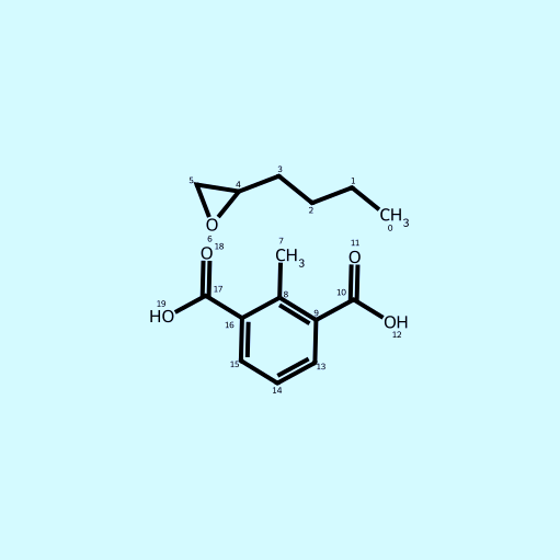 CCCCC1CO1.Cc1c(C(=O)O)cccc1C(=O)O